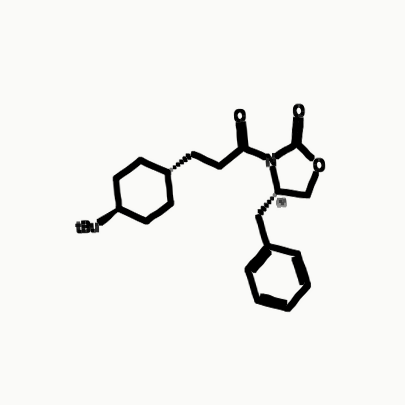 CC(C)(C)[C@H]1CC[C@H](CCC(=O)N2C(=O)OC[C@@H]2Cc2ccccc2)CC1